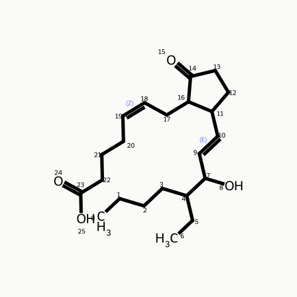 CCCCC(CC)C(O)/C=C/C1CCC(=O)C1C/C=C\CCCC(=O)O